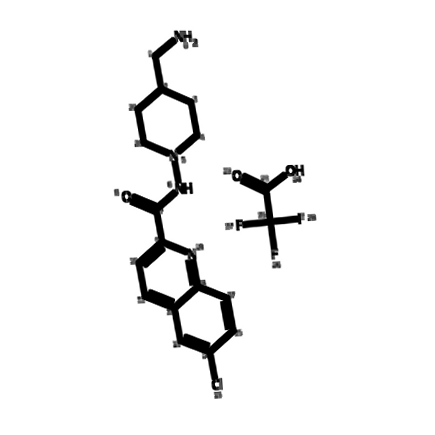 NCC1CCN(NC(=O)c2ccc3cc(Cl)ccc3n2)CC1.O=C(O)C(F)(F)F